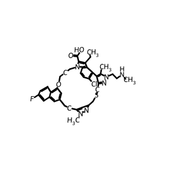 CCc1c(C(=O)O)n2c3ccc(Cl)c(c13)-c1c(nn(CCNC)c1C)CSCc1cc(n(C)n1)CCc1cc(c3ccc(F)cc3c1)OCCC2